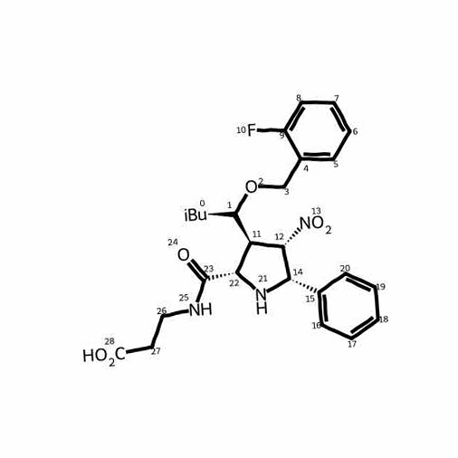 CC[C@H](C)C(OCc1ccccc1F)[C@H]1[C@H]([N+](=O)[O-])[C@H](c2ccccc2)N[C@@H]1C(=O)NCCC(=O)O